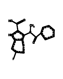 CN(C(=O)c1ccccc1)c1c(C(=O)O)[nH]c2cc(F)ccc12